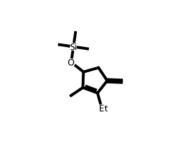 C=C1CC(O[Si](C)(C)C)C(C)=C1CC